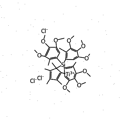 COc1cc([Si](c2cc(OC)c(OC)c(OC)c2C)(c2cc(OC)c(OC)c(OC)c2C)C2(C)C(C)=C(C)C(C)=[C]2[Ti+3])c(C)c(OC)c1OC.[Cl-].[Cl-].[Cl-]